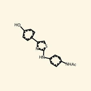 CC(=O)Nc1ccc(Nc2nc(-c3ccc(O)cc3)cs2)cc1